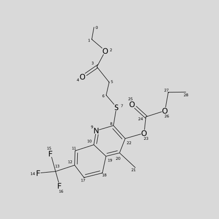 CCOC(=O)CCSc1nc2cc(C(F)(F)F)ccc2c(C)c1OC(=O)OCC